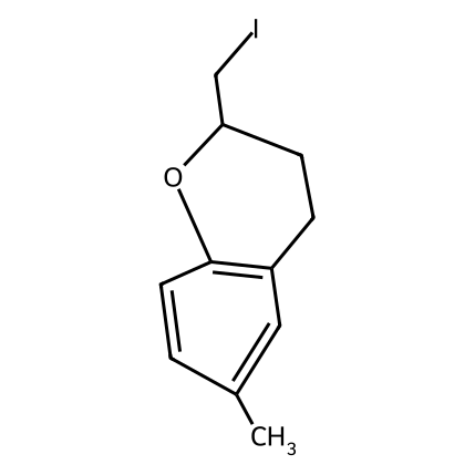 Cc1ccc2c(c1)CCC(CI)O2